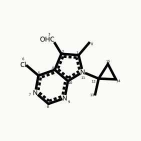 Cc1c(C=O)c2c(Cl)ncnc2n1C1(C)CC1